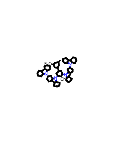 Cc1cc(-c2cc(-n3c4ccccc4c4ccc(-n5c6ccccc6c6ccccc65)cc43)c(C#N)c(-n3c4ccccc4c4ccc(-n5c6ccccc6c6ccccc65)cc43)c2)cc(C(F)(F)F)c1